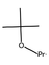 C[C](C)OC(C)(C)C